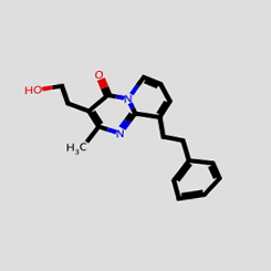 Cc1nc2c(CCc3ccccc3)cccn2c(=O)c1CCO